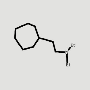 CCN(CC)CCC1CCCCCC1